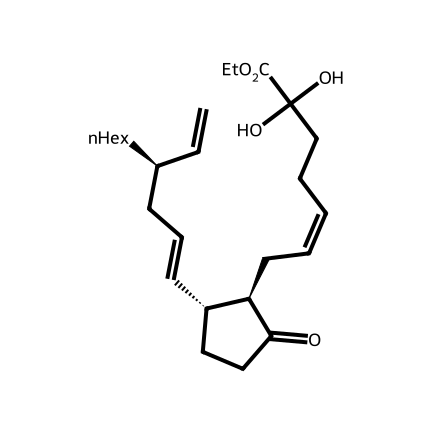 C=C[C@@H](C/C=C/[C@H]1CCC(=O)[C@@H]1C/C=C\CCC(O)(O)C(=O)OCC)CCCCCC